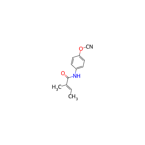 CC=C(C)C(=O)Nc1ccc(OC#N)cc1